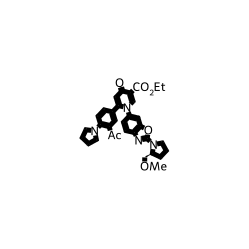 CCOC(=O)c1cn(-c2ccc3nc(N4CCC[C@@H]4COC)oc3c2)c(-c2ccc(N3CCCC3)c(C(C)=O)c2)cc1=O